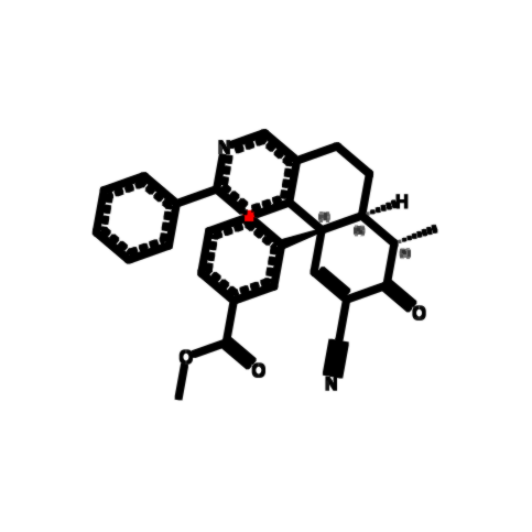 COC(=O)c1cccc([C@]23C=C(C#N)C(=O)[C@@H](C)[C@@H]2CCc2cnc(-c4ccccc4)nc23)c1